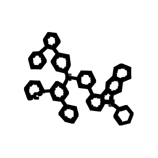 C1=CC(n2c3cc4ccccc4cc3c3c(-c4cccc(N(c5ccc(-c6ccccc6-c6ccccc6)cc5)c5cc(-c6ccccc6)cc(-c6ccccc6)c5)c4)cccc32)=CCC1